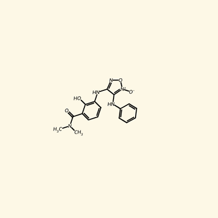 CN(C)C(=O)c1cccc(Nc2no[n+]([O-])c2Nc2ccccc2)c1O